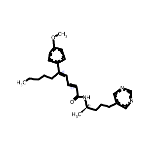 CCCCC/C(=C\C=C\C(=O)N[C@H](C)CCCc1cncnc1)c1ccc(OC)cc1